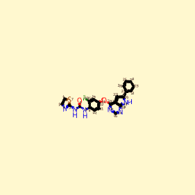 O=C(Nc1nccs1)Nc1ccc(Oc2ncnc3[nH]c(-c4ccccc4)cc23)cc1F